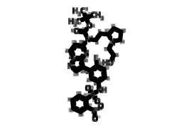 CC(C)(C)OC(=O)N(CCC1CCCN1CCO)c1ccn2ncc(-c3cc(NS(=O)(=O)c4ccccc4[N+](=O)[O-])ccc3F)c2n1